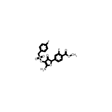 COC(=O)c1ccc(C2OC(N)=C(OS(=O)(=O)Cc3ccc(F)cc3)C2=O)cc1F